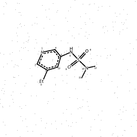 CCc1cncc(NS(=O)(=O)N(C)C)c1